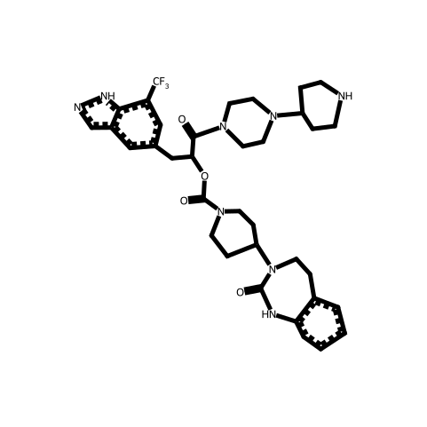 O=C(OC(Cc1cc(C(F)(F)F)c2[nH]ncc2c1)C(=O)N1CCN(C2CCNCC2)CC1)N1CCC(N2CCc3ccccc3NC2=O)CC1